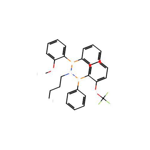 CCCCN(P(c1ccccc1)c1ccccc1OC)P(c1ccccc1)c1ccccc1OC(F)(F)F